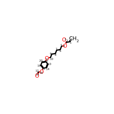 C=CC(=O)OCCCCCCOc1ccc(OC=O)cc1